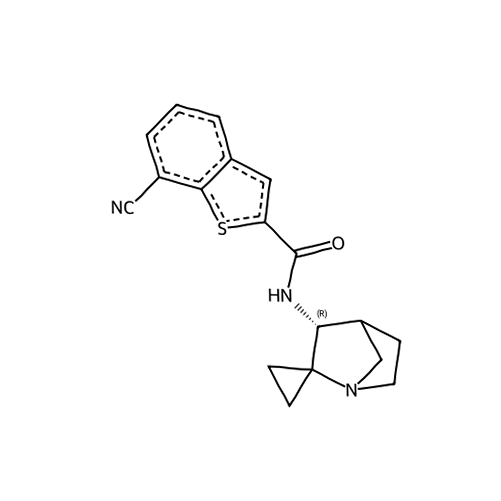 N#Cc1cccc2cc(C(=O)N[C@@H]3C4CCN(C4)C34CC4)sc12